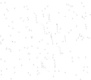 COc1ccc(C)c2c1C[C@@H]1CN(Cc3ccccc3)CCN1C2=O